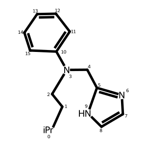 CC(C)CCN(Cc1ncc[nH]1)c1ccccc1